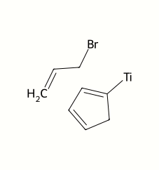 C=CCBr.[Ti][C]1=CC=CC1